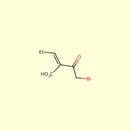 CC/C=C(\C(=O)O)C(=O)CBr